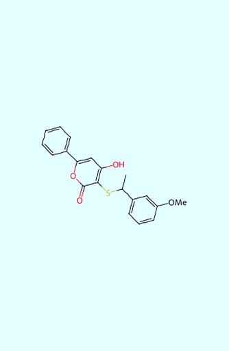 COc1cccc(C(C)Sc2c(O)cc(-c3ccccc3)oc2=O)c1